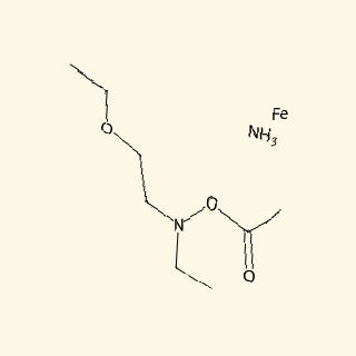 CCOCCN(CC)OC(C)=O.N.[Fe]